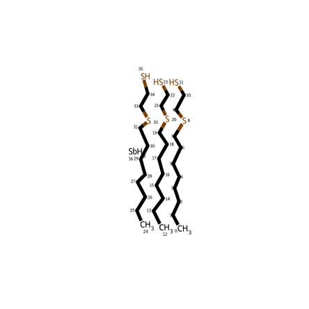 CCCCCCCCSCCS.CCCCCCCCSCCS.CCCCCCCCSCCS.[SbH3]